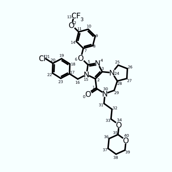 O=C1c2c(nc(Oc3cccc(OC(F)(F)F)c3)n2Cc2ccc(Cl)cc2)N2CCCC2CN1CCCOC1CCCCO1